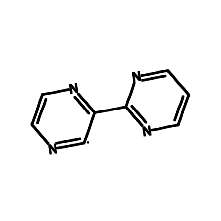 [c]1nccnc1-c1ncccn1